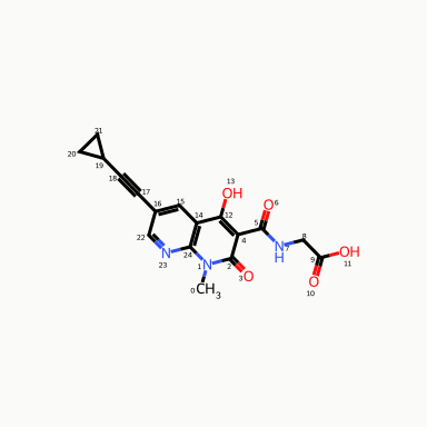 Cn1c(=O)c(C(=O)NCC(=O)O)c(O)c2cc(C#CC3CC3)cnc21